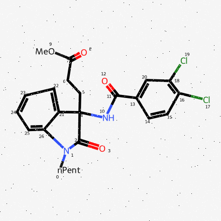 CCCCCN1C(=O)C(CCC(=O)OC)(NC(=O)c2ccc(Cl)c(Cl)c2)c2ccccc21